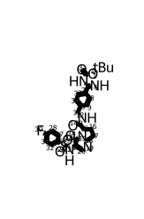 CC(C)(C)OC(=O)NC(=N)c1ccc(CNC(=O)C2CCc3ncc(NS(=O)(=O)c4ccc(F)cc4)c(=O)n32)cc1